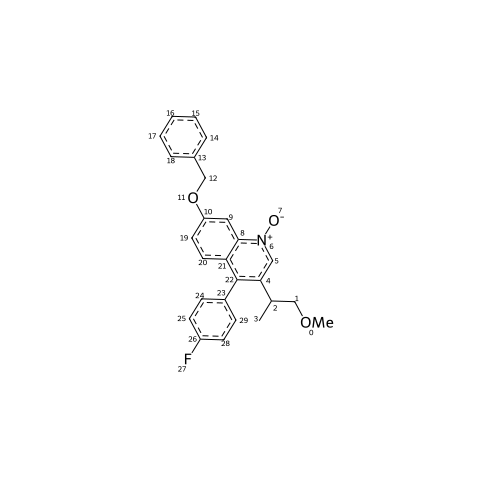 COCC(C)c1c[n+]([O-])c2cc(OCc3ccccc3)ccc2c1-c1ccc(F)cc1